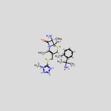 CO[C@@]1(N)C(=O)N2C(C(=O)O)=C(CSc3nnnn3C)CS[C@H]21.Cc1ccccc1C(C)(C)N